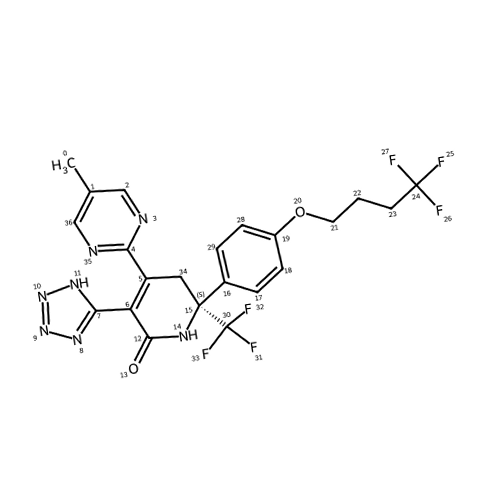 Cc1cnc(C2=C(c3nnn[nH]3)C(=O)N[C@@](c3ccc(OCCCC(F)(F)F)cc3)(C(F)(F)F)C2)nc1